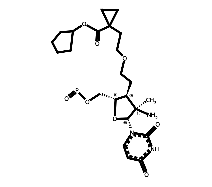 C[C@@]1(N)[C@H](CCOCCC2(C(=O)OC3CCCC3)CC2)[C@@H](COP=O)O[C@H]1n1ccc(=O)[nH]c1=O